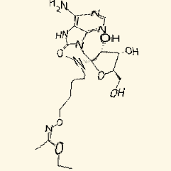 CCO/C(C)=N\OCCCCN(C)[C@@]1(n2c(=O)[nH]c3c(N)ncnc32)O[C@H](CO)[C@@H](O)[C@H]1O